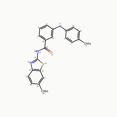 COc1ccc([I+]c2cccc(C(=O)Nc3nc4ccc(OC)cc4s3)c2)cc1